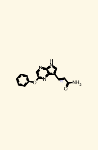 NC(=O)/C=C/c1c[nH]c2ncc(Oc3ccccc3)nc12